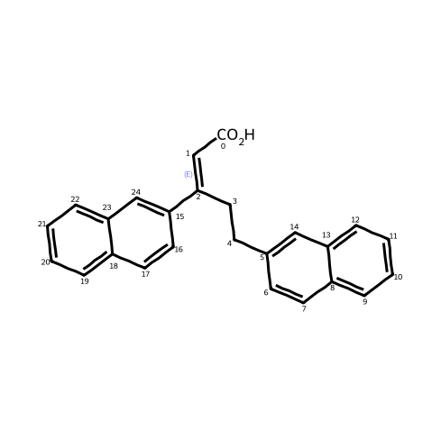 O=C(O)/C=C(\CCc1ccc2ccccc2c1)c1ccc2ccccc2c1